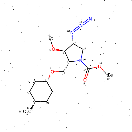 CCOC(=O)[C@H]1CC[C@H](OC[C@@H]2[C@@H](OCC)[C@H](N=[N+]=[N-])CN2C(=O)OC(C)(C)C)CC1